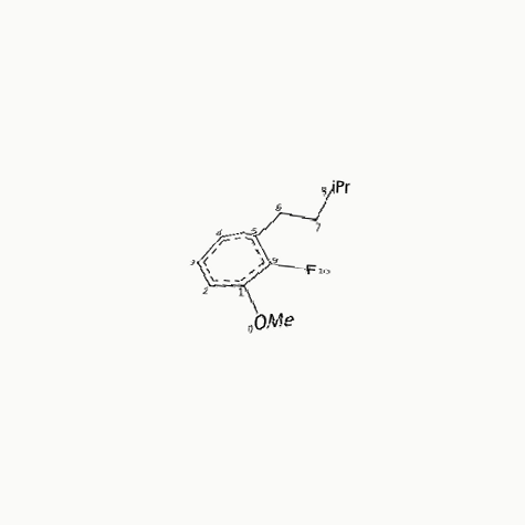 COc1cccc(CCC(C)C)c1F